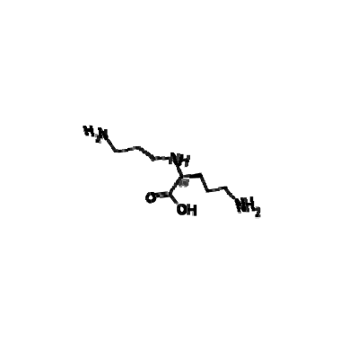 NCCCN[C@@H](CCCN)C(=O)O